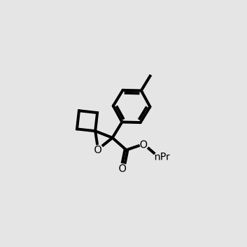 CCCOC(=O)C1(c2ccc(C)cc2)OC12CCC2